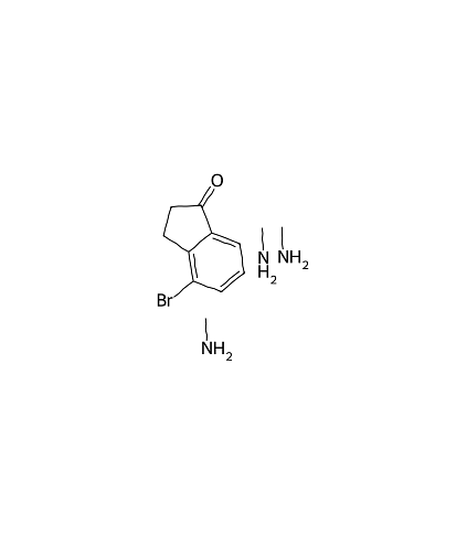 CN.CN.CN.O=C1CCc2c(Br)cccc21